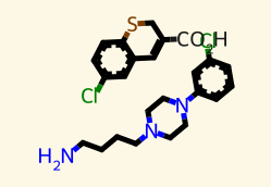 NCCCCN1CCN(c2cccc(Cl)c2)CC1.O=C(O)C1=Cc2cc(Cl)ccc2SC1